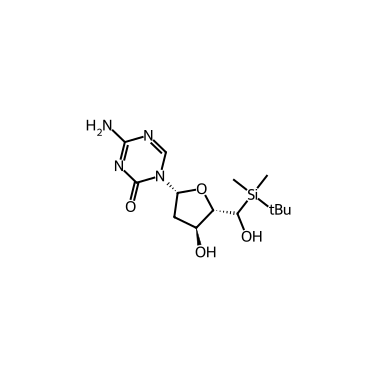 CC(C)(C)[Si](C)(C)C(O)[C@H]1O[C@@H](n2cnc(N)nc2=O)C[C@@H]1O